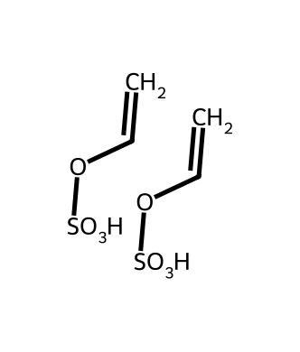 C=COS(=O)(=O)O.C=COS(=O)(=O)O